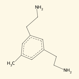 Cc1cc(CCN)cc(CCN)c1